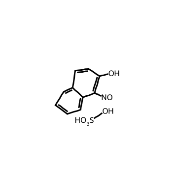 O=Nc1c(O)ccc2ccccc12.O=S(=O)(O)O